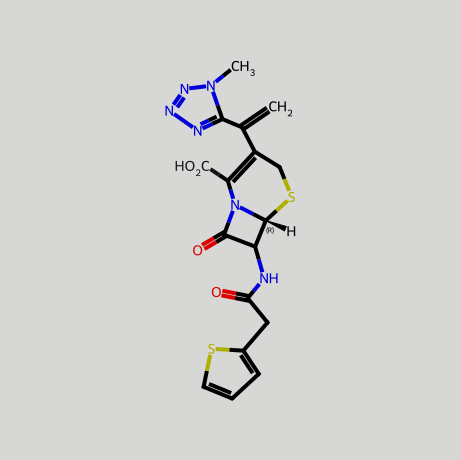 C=C(C1=C(C(=O)O)N2C(=O)C(NC(=O)Cc3cccs3)[C@H]2SC1)c1nnnn1C